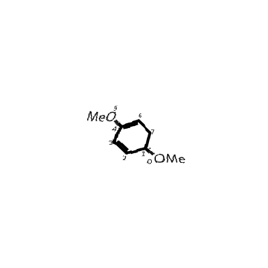 CO[C]1C=CC(OC)=CC1